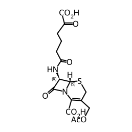 CC(=O)OCC1=C(C(=O)O)N2C(=O)[C@@H](NC(=O)CCCC(=O)C(=O)O)[C@@H]2SC1